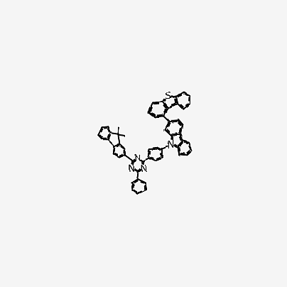 CC1(C)c2ccccc2-c2ccc(-c3nc(-c4ccccc4)nc(-c4ccc(-n5c6ccccc6c6ccc(-c7cccc8sc9ccccc9c78)cc65)cc4)n3)cc21